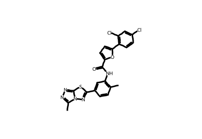 Cc1ccc(-c2nn3c(C)nnc3s2)cc1NC(=O)c1ccc(-c2ccc(Cl)cc2Cl)o1